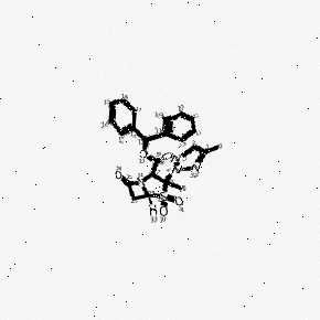 Cc1cnn(C2(C)C(C(=O)OC(c3ccccc3)c3ccccc3)N3C(=O)C[C@H]3S2(=O)=O)n1